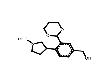 O=CN1CCC(c2ccc(CO)cc2C2OCCCO2)C1